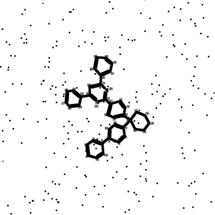 c1ccc(-c2ccc(C3(c4ccc(-c5nc(-c6ccccc6)cc(-c6ccccc6)n5)cc4)CCCCC3)cc2)cc1